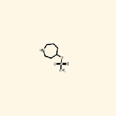 CS(=O)(=O)OC1CCCNCC1